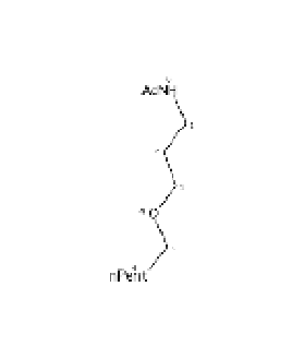 [CH2]C(=O)NCCCOCCCCCC